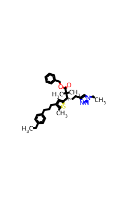 CCc1ccc(CCCc2cc([C@@H](CCc3cn(CC)nn3)C(C)(C)C(=O)OCc3ccccc3)sc2C)cc1